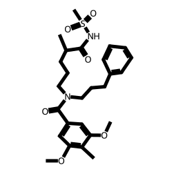 COc1cc(C(=O)N(CCCc2ccccc2)CCCC(C)C(=O)NS(C)(=O)=O)cc(OC)c1C